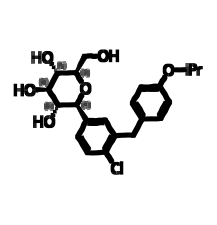 CC(C)Oc1ccc(Cc2cc([C@@H]3O[C@H](CO)[C@@H](O)[C@H](O)[C@H]3O)ccc2Cl)cc1